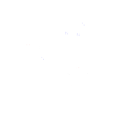 CC(Cn1ccnn1)C(=O)N1CCC=C(B2OC(C)(C)C(C)(C)O2)C1